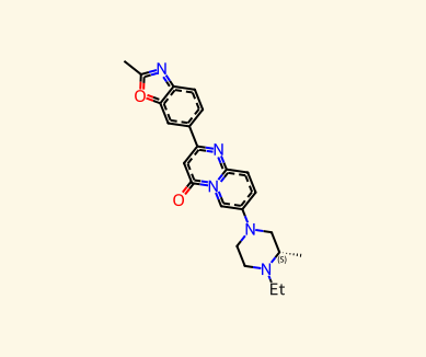 CCN1CCN(c2ccc3nc(-c4ccc5nc(C)oc5c4)cc(=O)n3c2)C[C@@H]1C